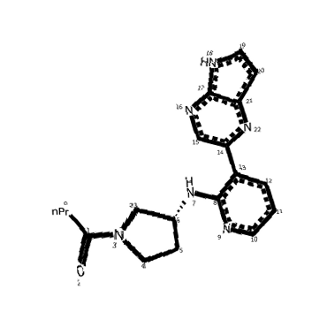 CCCC(=O)N1CC[C@@H](Nc2ncccc2-c2cnc3[nH]ccc3n2)C1